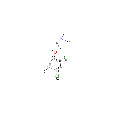 Cc1cc(OCCN(C)C)c(Cl)cc1Cl